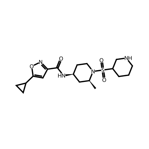 C[C@H]1C[C@@H](NC(=O)c2cc(C3CC3)on2)CCN1S(=O)(=O)C1CCCNC1